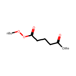 CCCCOOC(=O)CCCC(=O)OC